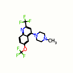 CN1CCN(c2cc(C(F)(F)F)nc3ccc(OC(F)(F)F)cc23)CC1